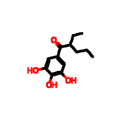 CCCC(CC)C(=O)c1cc(O)c(O)c(O)c1